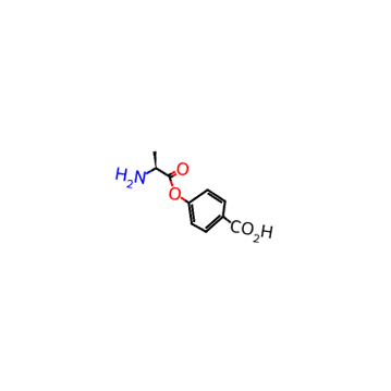 C[C@H](N)C(=O)Oc1ccc(C(=O)O)cc1